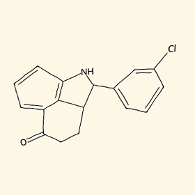 O=C1CCC2c3c(cccc31)NC2c1cccc(Cl)c1